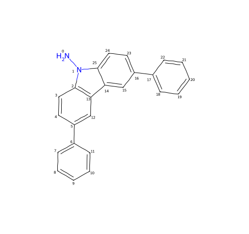 Nn1c2ccc(-c3ccccc3)cc2c2cc(-c3ccccc3)ccc21